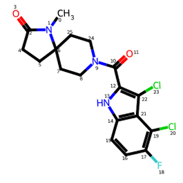 CN1C(=O)CCC12CCN(C(=O)c1[nH]c3ccc(F)c(Cl)c3c1Cl)CC2